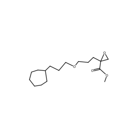 COC(=O)C1(CCCOCCCC2CCCCCC2)CO1